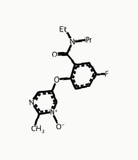 CCN(C(=O)c1cc(F)ccc1Oc1cnc(C)[n+]([O-])c1)C(C)C